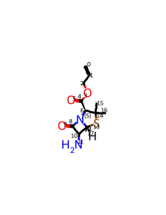 C=CCOC(=O)[C@@H]1N2C(=O)C(N)[C@H]2SC1(C)C